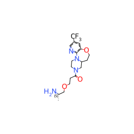 C[C@H](N)COCCC(=O)N1CCN2c3ncc(C(F)(F)F)cc3OCCC2C1